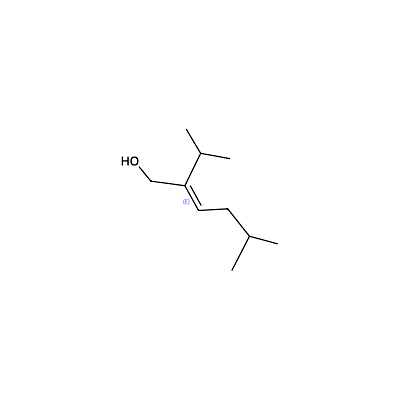 CC(C)C/C=C(/CO)C(C)C